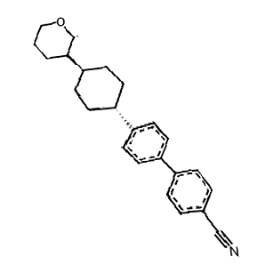 N#Cc1ccc(-c2ccc([C@H]3CC[C@H](C4[CH]OCCC4)CC3)cc2)cc1